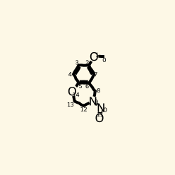 COc1ccc2c(c1)CN(N=O)CCO2